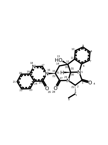 CC[C@H]1C(=O)N2c3ccccc3[C@@]3(O)C[C@H](n4cnc5ccccc5c4=O)C(=O)N1[C@@H]23